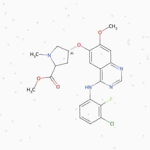 COC(=O)C1C[C@@H](Oc2cc3c(Nc4cccc(Cl)c4F)ncnc3cc2OC)CN1C